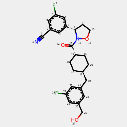 N#Cc1cc(F)cc([C@@H]2CCON2C(=O)[C@H]2CC[C@H](Cc3cc(F)cc(CO)c3)CC2)c1